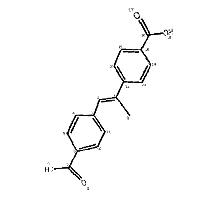 C/C(=C\c1ccc(C(=O)O)cc1)c1ccc(C(=O)O)cc1